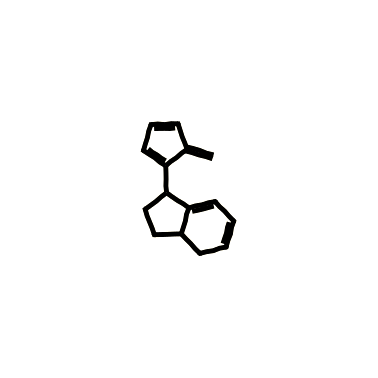 C=C1C=CC=C1C1CCC2CC=CC=C21